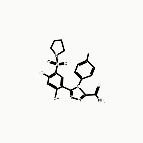 Cc1ccc(-n2c(C(N)=O)nnc2-c2cc(S(=O)(=O)N3CCCC3)c(O)cc2O)cc1